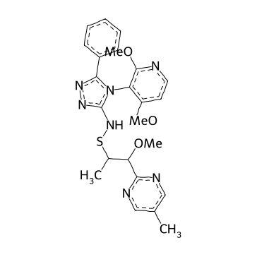 COc1ccnc(OC)c1-n1c(NSC(C)C(OC)c2ncc(C)cn2)nnc1-c1ccccc1